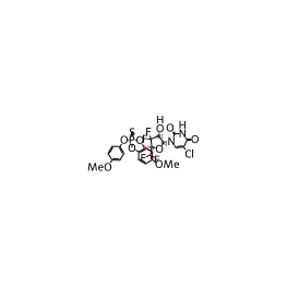 COc1ccc(OP(=S)(OC[C@@]2(C(F)F)O[C@@H](n3cc(Cl)c(=O)[nH]c3=O)[C@@H](O)C2(F)F)Oc2ccc(OC)cc2)cc1